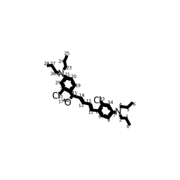 CCCN(CCC)c1ccc(/C=C/C=C/C(OC)c2ccc(N(CCC)CCC)cc2Cl)c(Cl)c1